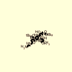 CC(C)(C)OC(=O)N[C@H]1C[C@@H](NC(=O)C(O)C2CN(C(=O)OC(C)(C)C)C2)[C@H](O[C@H]2OC[C@](C)(O)C[C@H]2O)[C@@H](O)[C@@H]1O[C@@H]1CCC=C(CNCCCN)O1